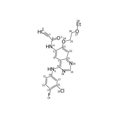 C#CC(=O)Nc1cc2c(Nc3ccc(F)c(Cl)c3)ncnc2cc1OCCOCC